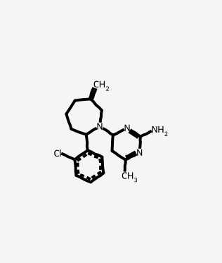 C=C1CCCC(c2ccccc2Cl)N(C2CC(C)=NC(N)=N2)C1